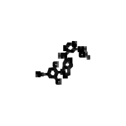 CNc1cc(Nc2cc3c(cn2)cnn3-c2c(Cl)cc(C#N)cc2Cl)ncn1